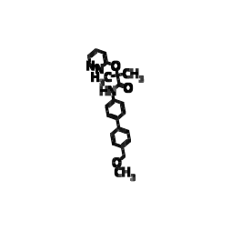 COCc1ccc(-c2ccc(NC(=O)C(C)(C)Oc3cccnn3)cc2)cc1